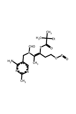 CCC(C)(C)C(=O)S/C(CCOP=O)=C(/C)N(C=O)Cc1cnc(C)nc1N